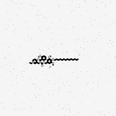 CCCCCCCCCCCCCCOc1c(OC)cc(COC(=O)N(Cc2ccc[n+](CC)c2)C(=O)c2ccccc2OC)cc1OC.[I-]